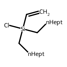 C=C[Si](Cl)(CCCCCCCC)CCCCCCCC